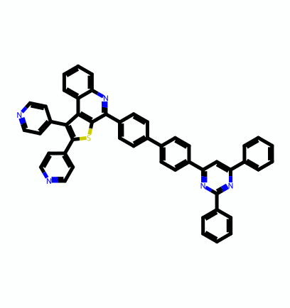 c1ccc(-c2cc(-c3ccc(-c4ccc(-c5nc6ccccc6c6c(-c7ccncc7)c(-c7ccncc7)sc56)cc4)cc3)nc(-c3ccccc3)n2)cc1